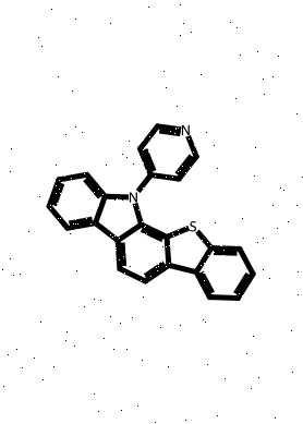 c1ccc2c(c1)sc1c2ccc2c3ccccc3n(-c3ccncc3)c21